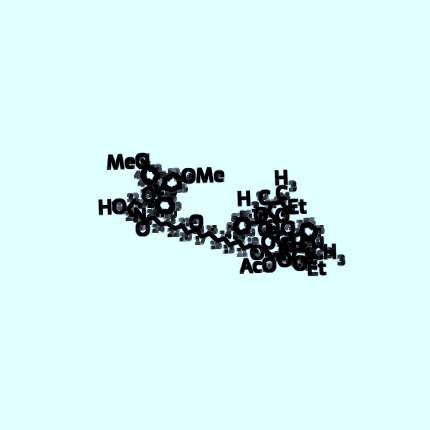 CCC1OC(OCC2OC(OCCCCCCCCC(=O)CCCCCCC(=O)N3C[C@H](O)C[C@H]3COC(c3ccccc3)(c3ccc(OC)cc3)c3ccc(OC)cc3)C(OC(C)=O)C(OC3OC(CC)C(C)C(C)C3OC(=O)c3ccccc3)C2C)C(OC(=O)c2ccccc2)C(C)C1C